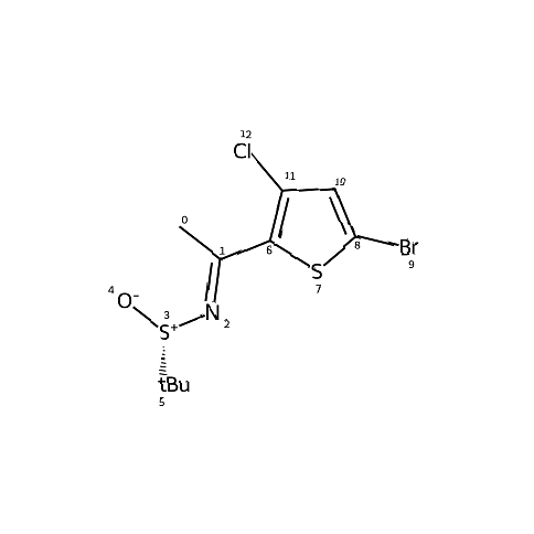 CC(=N[S@@+]([O-])C(C)(C)C)c1sc(Br)cc1Cl